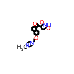 CN1CCN(CCOc2ccc3c(ccc4occ(C5CCC(=O)NC5=O)c43)c2)CC1